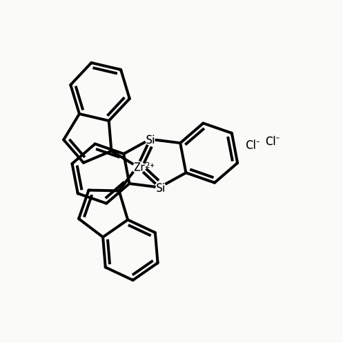 C1=C[CH]([Zr+2]2([CH]3C=Cc4ccccc43)=[Si]3c4ccccc4[Si]=2c2ccccc23)c2ccccc21.[Cl-].[Cl-]